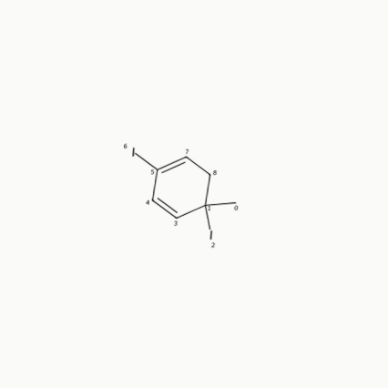 CC1(I)C=CC(I)=CC1